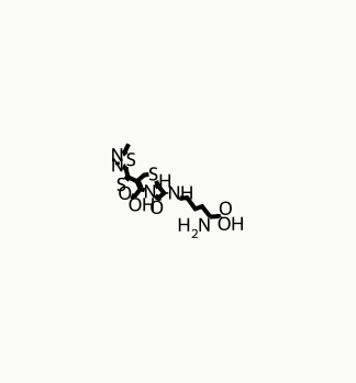 Cc1nnc(C(=S)C2=C(C(=O)O)N3C(=O)[C@@H](NCCCCC(N)C(=O)O)[C@@H]3SC2)s1